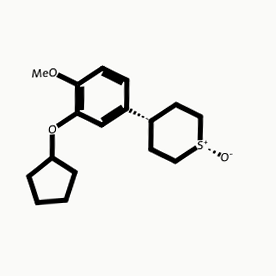 COc1ccc([C@H]2CC[S@@+]([O-])CC2)cc1OC1CCCC1